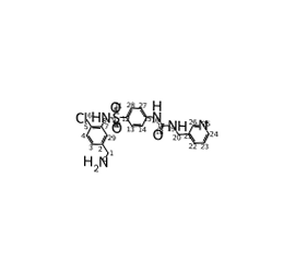 NCc1ccc(Cl)c(NS(=O)(=O)c2ccc(NC(=O)NCc3cccnc3)cc2)c1